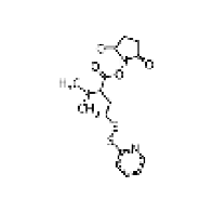 CN(C)C(CCSSc1ccccn1)C(=O)ON1C(=O)CCC1=O